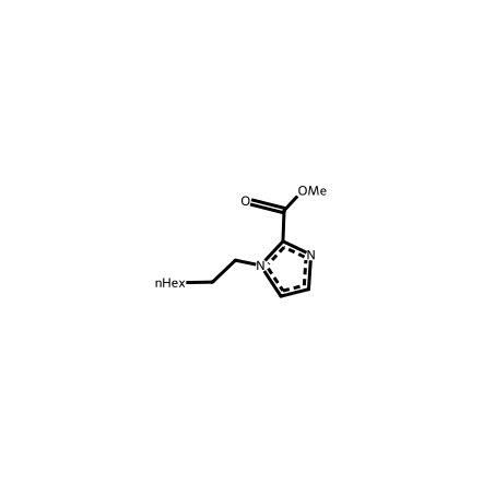 CCCCCCCCn1ccnc1C(=O)OC